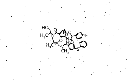 CC(C(=O)Nc1cccc2c1O[C@H](CN(C)Cc1ccc(Sc3ccccc3)cc1)[C@H](C)CN(C(C)CO)C2=O)c1ccc(F)cc1